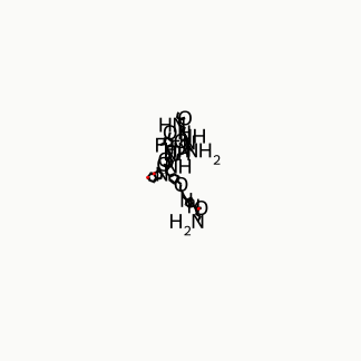 CCC(=O)NCCNC(=O)/N=C(/N)NCCC[C@@H](NC(=O)[C@H](c1ccc(OCCCN2CCN(C(=O)CCN)CC2)cc1)N1Cc2ccccc2C1)C(=O)NCc1c(F)cc(O)cc1F